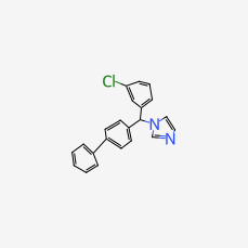 Clc1cccc(C(c2ccc(-c3ccccc3)cc2)n2ccnc2)c1